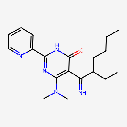 CCCCC(CC)C(=N)c1c(N(C)C)nc(-c2ccccn2)[nH]c1=O